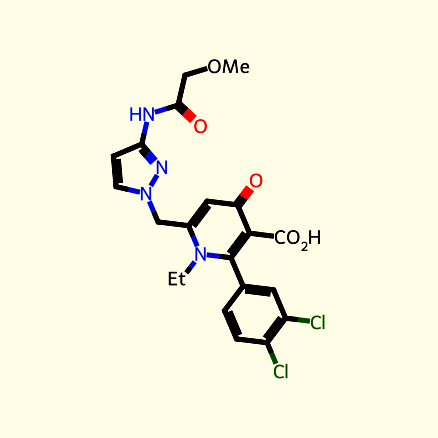 CCn1c(Cn2ccc(NC(=O)COC)n2)cc(=O)c(C(=O)O)c1-c1ccc(Cl)c(Cl)c1